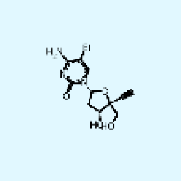 C#C[C@]1(CO)O[C@@H](n2cc(CC)c(N)nc2=O)C[C@@H]1O